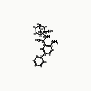 Nc1ccc(-c2ccccc2)cc1C(=O)N[C@H]1CN2CCC1CC2